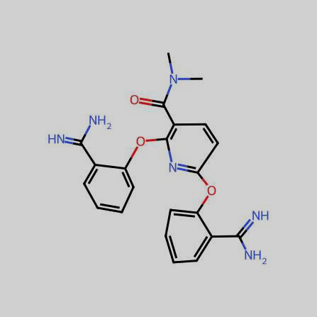 CN(C)C(=O)c1ccc(Oc2ccccc2C(=N)N)nc1Oc1ccccc1C(=N)N